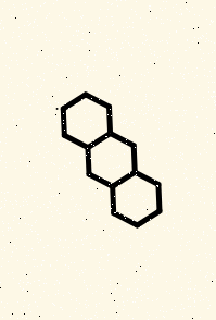 [CH]1CCC2CC3CCCCC3CC2C1